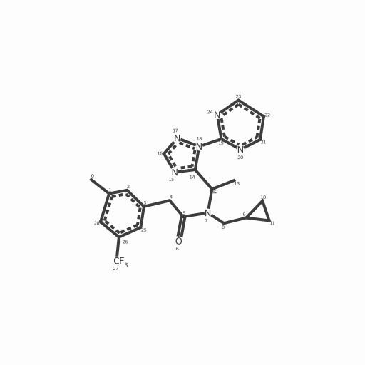 Cc1cc(CC(=O)N(CC2CC2)C(C)c2ncnn2-c2ncccn2)cc(C(F)(F)F)c1